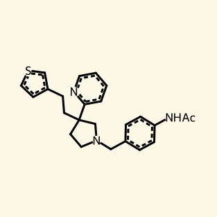 CC(=O)Nc1ccc(CN2CCC(CCc3ccsc3)(c3ccccn3)C2)cc1